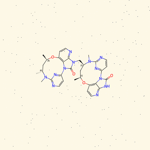 C[C@@H]1C[C@@H](C)N(C)c2nccc(n2)-n2c(=O)n(C[C@@H]3C[C@H](C)Oc4ccnc5[nH]c(=O)n(c45)-c4ccnc(n4)N3C)c3nccc(c32)O1